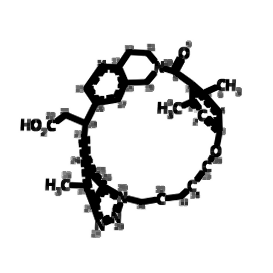 Cc1cc2cc(C)c1C(=O)N1CCc3ccc(cc3C1)C(CC(=O)O)c1ccc3c(nnn3CCCCCO2)c1C